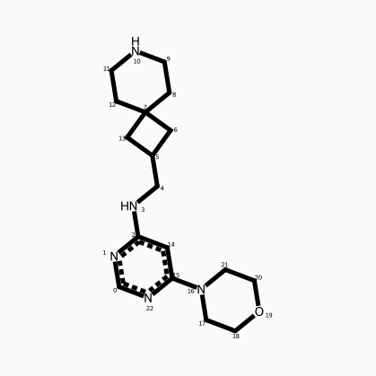 c1nc(NCC2CC3(CCNCC3)C2)cc(N2CCOCC2)n1